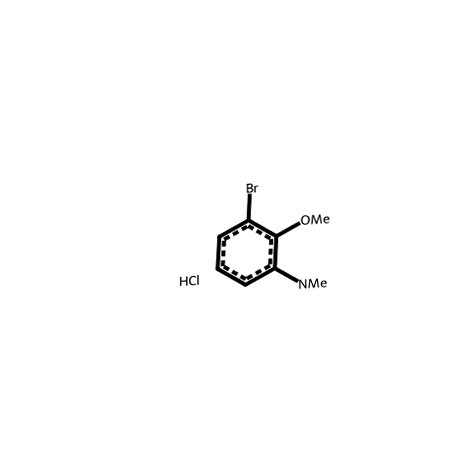 CNc1cccc(Br)c1OC.Cl